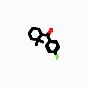 CC1(C)CCCCC1C(=O)c1ccc(F)cc1